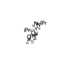 CC(C)c1c(-c2cnn(C(C)C)c2)nn2c1O[C@H](C)CC2